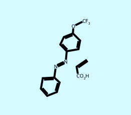 C=CC(=O)O.FC(F)(F)Oc1ccc(N=Nc2ccccc2)cc1